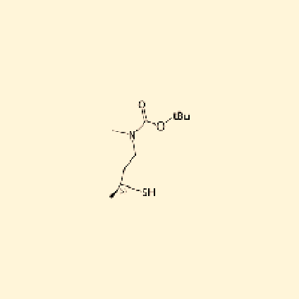 C[C@H](S)CCN(C)C(=O)OC(C)(C)C